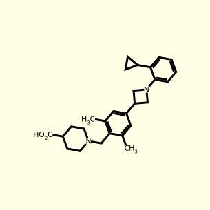 Cc1cc(C2CN(c3ccccc3C3CC3)C2)cc(C)c1CN1CCC(C(=O)O)CC1